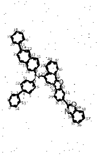 c1ccc(-c2ccc(N(c3ccc4cc(-c5ccccc5)ccc4c3)c3cc4c5ccc(-c6nc7ccccc7o6)cc5oc4c4ccccc34)cc2)cc1